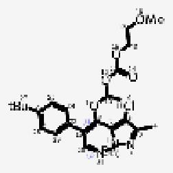 CCn1nc(C)c(Cl)c1/C(OC(C)OC(=O)OCCOC)=C(\C=N/C)c1ccc(C(C)(C)C)cc1